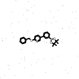 CC1(C)OB(c2cccc(-c3ccc(OCc4ccccc4)nc3)c2)OC1(C)C